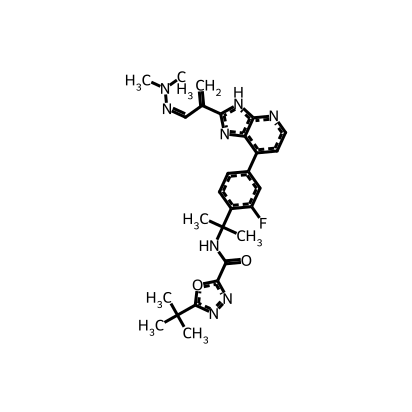 C=C(/C=N\N(C)C)c1nc2c(-c3ccc(C(C)(C)NC(=O)c4nnc(C(C)(C)C)o4)c(F)c3)ccnc2[nH]1